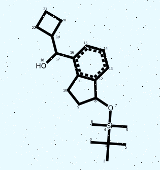 CC(C)(C)[Si](C)(C)OC1CCc2c1cccc2C(O)C1CCC1